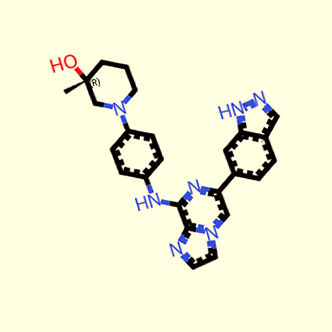 C[C@@]1(O)CCCN(c2ccc(Nc3nc(-c4ccc5cn[nH]c5c4)cn4ccnc34)cc2)C1